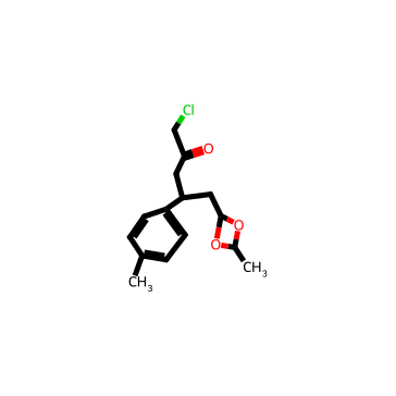 Cc1ccc(C(CC(=O)CCl)CC2OC(C)O2)cc1